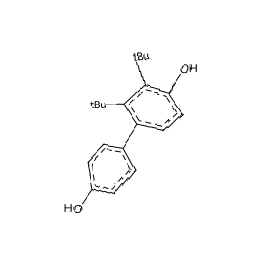 CC(C)(C)c1c(O)ccc(-c2ccc(O)cc2)c1C(C)(C)C